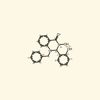 O=C1c2ccccc2N(Cc2ccccc2)C(c2ccccc2O)N1O